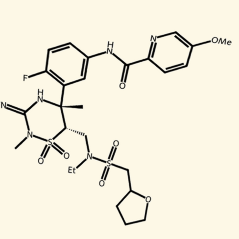 CCN(C[C@H]1[C@@](C)(c2cc(NC(=O)c3ccc(OC)cn3)ccc2F)NC(=N)N(C)S1(=O)=O)S(=O)(=O)CC1CCCO1